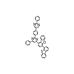 c1ccc(-c2cc(-c3ccc(-c4cccc5c4sc4ccccc45)c4oc5ccccc5c34)nc(-c3ccc(-c4cnc(-c5ccccc5)nc4)cc3)n2)cc1